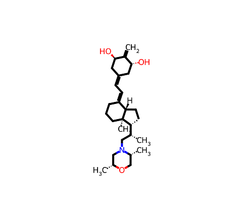 C=C1[C@H](O)CC(=C/C=C2\CCC[C@]3(C)[C@@H]([C@H](C)CN4C[C@@H](C)OC[C@H]4C)CC[C@@H]23)C[C@H]1O